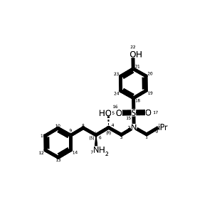 CC(C)CN(C[C@@H](O)[C@@H](N)Cc1ccccc1)S(=O)(=O)c1ccc(O)cc1